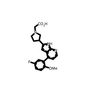 COc1ccc(F)cc1-c1ccnc2[nH]c(C3CCN(CC(=O)O)C3)cc12